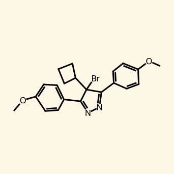 COc1ccc(C2=NN=C(c3ccc(OC)cc3)C2(Br)C2CCC2)cc1